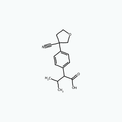 CC(C)C(C(=O)O)c1ccc(C2(C#N)CCOC2)cc1